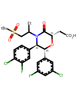 CCC(CS(=O)(=O)C(C)(C)C)N1C(=O)[C@H](CC(=O)O)O[C@H](c2cc(F)cc(Cl)c2)[C@H]1c1ccc(Cl)c(F)c1